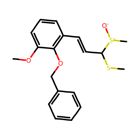 COc1cccc(/C=C/C(SC)[S+](C)[O-])c1OCc1ccccc1